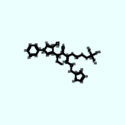 CCN(C(=O)C(CSCCC(F)(F)F)=NOCc1nccs1)c1cn(-c2cccnc2)nc1Cl